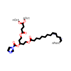 CCCCC/C=C\C/C=C\CCCCCCCC(=O)OCCC(CCOC(=O)CCC(OCCCCCCCC)OCCCCCCCC)OC(=O)n1ccnc1